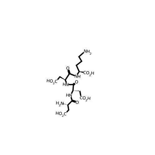 NCCC[C@H](NC(=O)[C@H](CC(=O)O)NC(=O)[C@H](CC(=O)O)NC(=O)[C@@H](N)CC(=O)O)C(=O)O